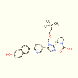 C[Si](C)(C)CCOCn1c(-c2ccc(-c3ccc4cc(O)ccc4c3)nc2)cnc1[C@@H]1CCCN1C(=O)O